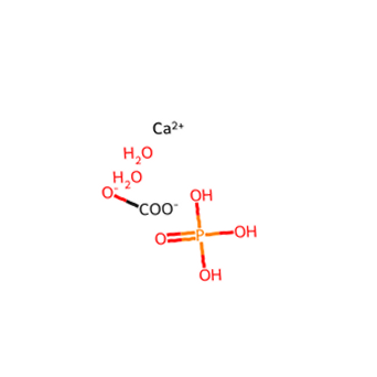 O.O.O=C([O-])[O-].O=P(O)(O)O.[Ca+2]